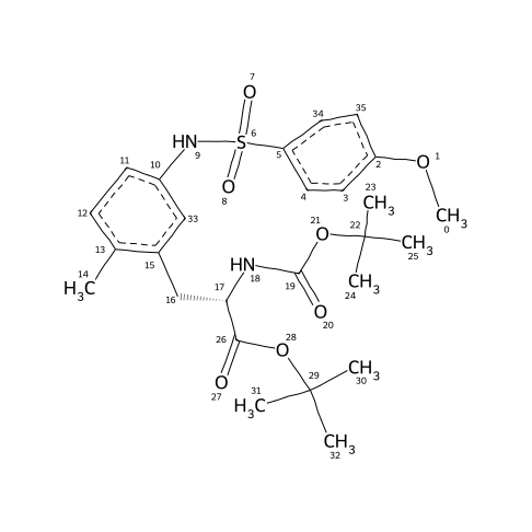 COc1ccc(S(=O)(=O)Nc2ccc(C)c(C[C@H](NC(=O)OC(C)(C)C)C(=O)OC(C)(C)C)c2)cc1